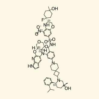 CC(C)c1ccccc1[C@@H]1CC[C@@](C)(O)CN1C1CC2(CCN(c3ccc(C(=O)NS(=O)(=O)c4cc5c(c([N+](=O)[O-])c4)N[C@H](C4(F)CCC(C)(O)CC4)CO5)c(N4c5cc6cc[nH]c6nc5O[C@H]5COCC[C@@H]54)c3)CC2)C1